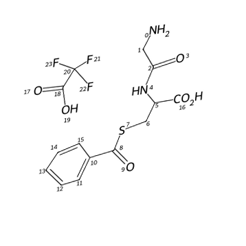 NCC(=O)NC(CSC(=O)c1ccccc1)C(=O)O.O=C(O)C(F)(F)F